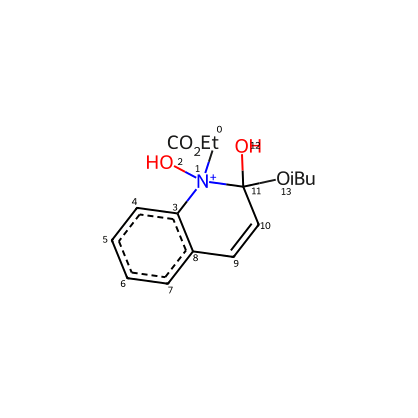 CCOC(=O)[N+]1(O)c2ccccc2C=CC1(O)OCC(C)C